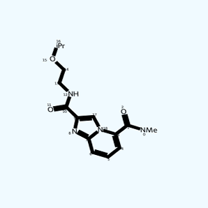 CNC(=O)c1cccc2nc(C(=O)NCCOC(C)C)cn12